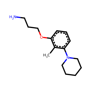 Cc1c(OCCCN)cccc1N1CCCCC1